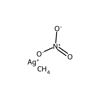 C.O=[N+]([O-])[O-].[Ag+]